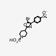 C[S+]([O-])c1ccc(-c2nc(C3CCN(C(=O)O)CC3)oc2Br)cc1